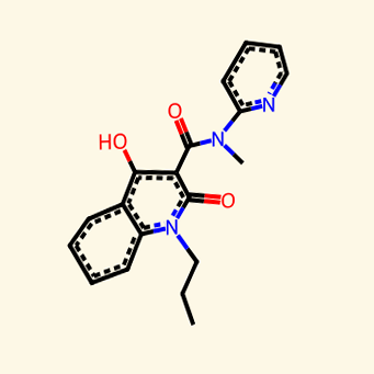 CCCn1c(=O)c(C(=O)N(C)c2ccccn2)c(O)c2ccccc21